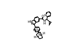 O=C(NC(c1ccccn1)C1CC1)c1ccc2[nH]nc(-c3ccc(N4[C@@H]5CC[C@H]4C[C@H](O)C5)cc3)c2c1